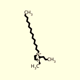 CCCCCCCCCCCCCCC[n+]1ccn(CC)c1CCC